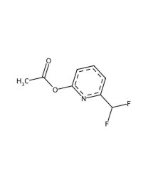 CC(=O)Oc1cccc(C(F)F)n1